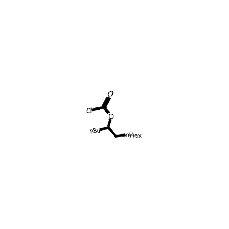 CCCCCCCC(CCCC)OC(=O)Cl